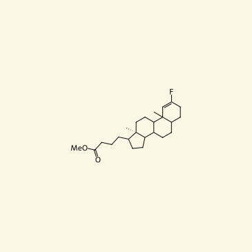 COC(=O)CCCC1CCC2C3CCC4CCC(F)=CC4(C)C3CC[C@]12C